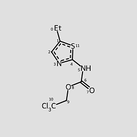 CCc1cnc(NC(=O)OCC(Cl)(Cl)Cl)s1